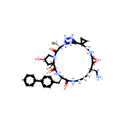 CC(C)(C)[C@H]1C(=O)N2C[C@H](O)C[C@H]2C(=O)N[C@H](Cc2ccc(-c3ccccc3)cc2)C(=O)NCCC[C@H](CN)C2OC2NCC2(CC2)c2cn1nn2